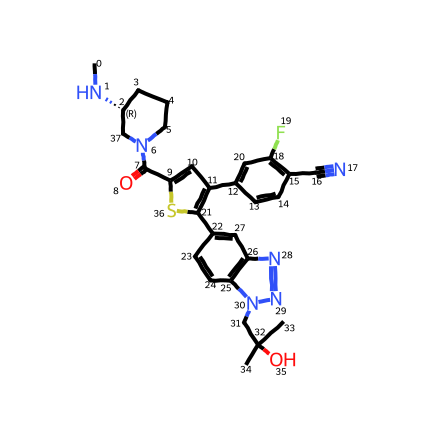 CN[C@@H]1CCCN(C(=O)c2cc(-c3ccc(C#N)c(F)c3)c(-c3ccc4c(c3)nnn4CC(C)(C)O)s2)C1